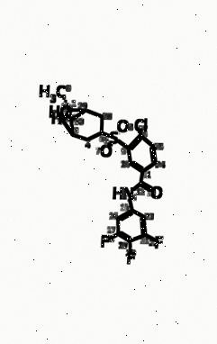 C[C@H]1CC2CC(S(=O)(=O)c3cc(C(=O)Nc4cc(F)c(F)c(F)c4)ccc3Cl)CC1[C@@H]2O